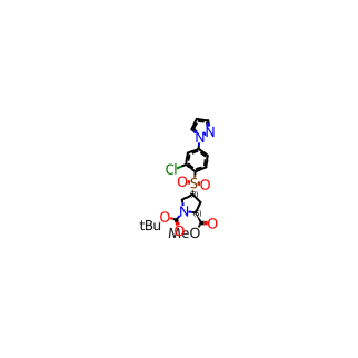 COC(=O)[C@@H]1C[C@@H](S(=O)(=O)c2ccc(-n3cccn3)cc2Cl)CN1C(=O)OC(C)(C)C